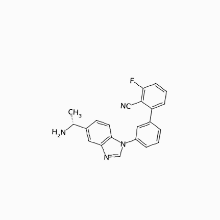 C[C@@H](N)c1ccc2c(c1)ncn2-c1cccc(-c2cccc(F)c2C#N)c1